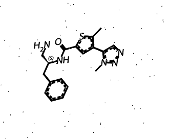 Cc1sc(C(=O)N[C@H](CN)Cc2ccccc2)cc1-c1cnnn1C